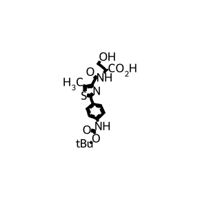 Cc1sc(-c2ccc(NC(=O)OC(C)(C)C)cc2)nc1C(=O)N[C@@H](CO)C(=O)O